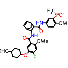 COc1cc(F)c(OC2CCC(C=O)CC2)cc1C(=O)NC1C2C=CC(C2)C1C(=O)Nc1ccc(OC)c([S+]([O-])C(F)(F)F)c1